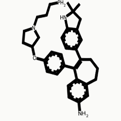 CC1(C)Cc2cc(C3=C(c4ccc(OC5CCN(CCCP)C5)cc4)c4ccc(N)cc4CCC3)ccc2N1